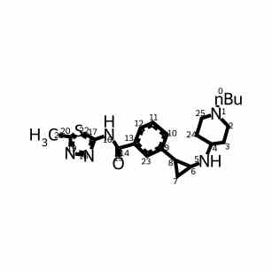 CCCCN1CCC(NC2CC2c2cccc(C(=O)Nc3nnc(C)s3)c2)CC1